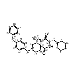 CCCCN1C(=O)[C@H](CC2CCCCC2)NC(=O)C12CCN(Cc1ccc(Sc3ccccc3)cc1)CC2